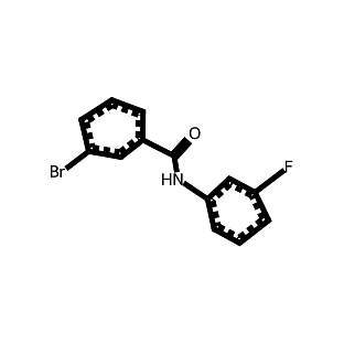 O=C(Nc1cccc(F)c1)c1cccc(Br)c1